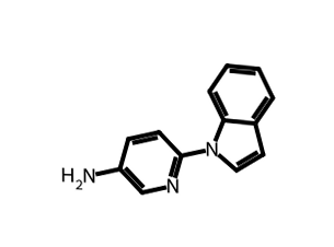 Nc1ccc(-n2ccc3ccccc32)nc1